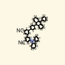 N#Cc1cc(-c2ccc(-c3c4ccccc4c(-c4ccccc4)c4ccccc34)cc2)cc(-c2cc(C#N)cc(-n3c4ccccc4c4ccccc43)c2)c1